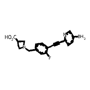 Bc1ccc(C#Cc2ccc(CN3CC(C(=O)O)C3)cc2F)nc1